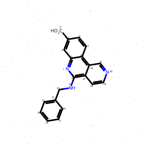 O=C(O)c1ccc2c(c1)nc(NCc1ccccc1)c1ccncc12